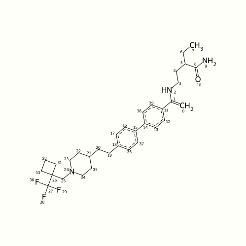 C=C(NCCC(CC)C(N)=O)c1ccc(-c2ccc(CCC3CCN(CC4(C(F)(F)F)CCC4)CC3)cc2)cc1